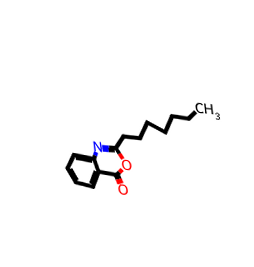 CCCCCCCc1nc2ccccc2c(=O)o1